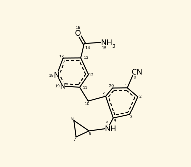 N#Cc1ccc(NC2CC2)c(Cc2cc(C(N)=O)cnn2)c1